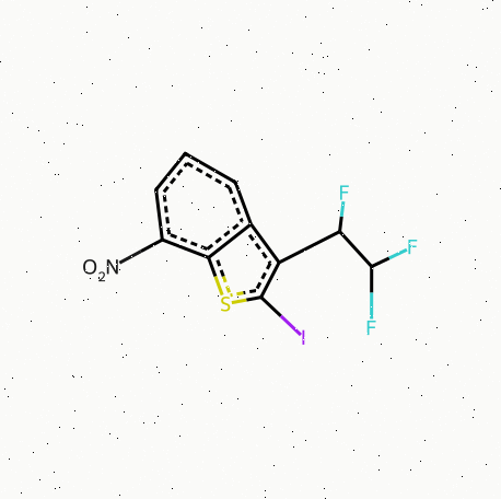 O=[N+]([O-])c1cccc2c(C(F)C(F)F)c(I)sc12